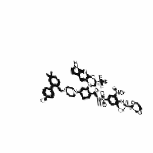 CC1(C)CCC(CN2CCN(c3ccc(C(=O)NS(=O)(=O)c4cc5c(c([N+](=O)[O-])c4)N[C@H]([C@H]4COCCO4)CO5)c(N4C[C@@H](C(F)(F)F)Oc5nc6[nH]ccc6cc54)c3)CC2)=C(c2ccc(Cl)cc2)C1